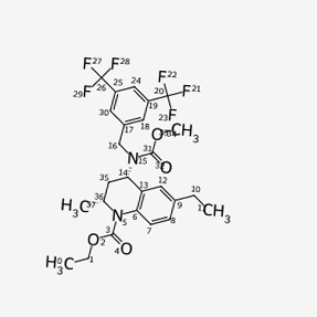 CCOC(=O)N1c2ccc(CC)cc2[C@@H](N(Cc2cc(C(F)(F)F)cc(C(F)(F)F)c2)C(=O)OC)C[C@H]1C